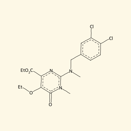 CCOC(=O)c1nc(N(C)Cc2ccc(Cl)c(Cl)c2)n(C)c(=O)c1OCC